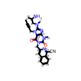 CC#CCn1c(N(C)CC(C)N)nc2c1c(=O)n(Cc1cc3ccccc3c(C#N)n1)c(=O)n2C